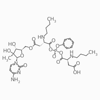 CCCCN[C@@H](CC(=O)O)C(=O)OP(=O)(OC(=O)[C@H](CC(=O)OC[C@H]1O[C@@H](n2ccc(N)nc2=O)[C@](C)(O)[C@@H]1O)NCCCC)Oc1ccccc1